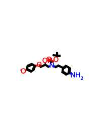 COc1ccc(OC[C@@H](O)CN(CCc2ccc(N)cc2)C(=O)OC(C)(C)C)cc1